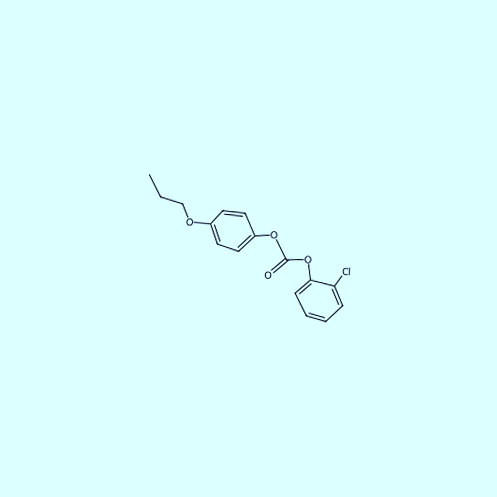 CCCOc1ccc(OC(=O)Oc2ccccc2Cl)cc1